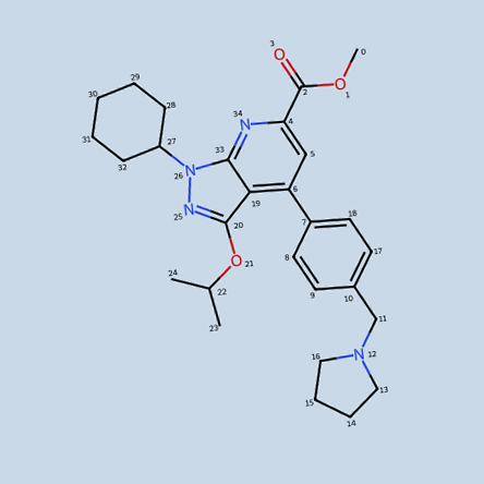 COC(=O)c1cc(-c2ccc(CN3CCCC3)cc2)c2c(OC(C)C)nn(C3CCCCC3)c2n1